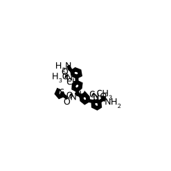 CN(C)c1c(C(N)=O)cccc1-c1ccc(C(=NOC(=O)c2cccs2)c2ccc(-c3cccc(C(N)=O)c3N(C)C)cc2)cc1